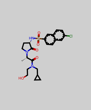 C[C@@H](C(=O)N(CCO)CC1CC1)N1CC[C@H](NS(=O)(=O)c2ccc3cc(Cl)ccc3c2)C1=O